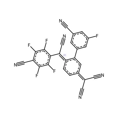 N#CC(C#N)=c1cc/c(=C(/C#N)c2c(F)c(F)c(C#N)c(F)c2F)c(-c2cc(F)cc(C#N)c2)c1